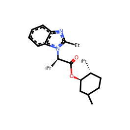 CCc1nc2ccccc2n1[C@@H](C(=O)O[C@@H]1CC(C)CC[C@H]1C(C)C)C(C)C